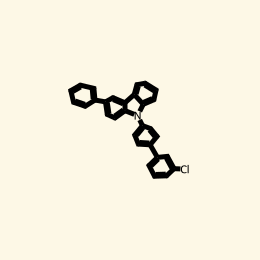 Clc1cccc(-c2ccc(-n3c4ccccc4c4cc(-c5ccccc5)ccc43)cc2)c1